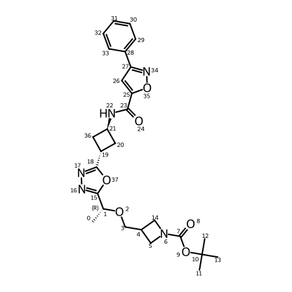 C[C@@H](OCC1CN(C(=O)OC(C)(C)C)C1)c1nnc([C@H]2C[C@H](NC(=O)c3cc(-c4ccccc4)no3)C2)o1